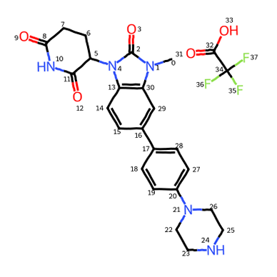 Cn1c(=O)n(C2CCC(=O)NC2=O)c2ccc(-c3ccc(N4CCNCC4)cc3)cc21.O=C(O)C(F)(F)F